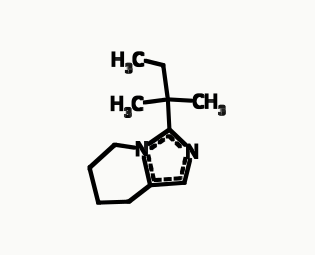 CCC(C)(C)c1ncc2n1CCCC2